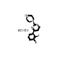 Cl.Cl.Fc1cccc(-c2ccnc(N3CCNCC3)n2)c1F